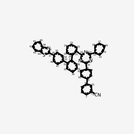 N#Cc1cccc(-c2ccc(-c3nc(-c4ccccc4)nc(-c4ccccc4-c4ccccc4-c4ccc(-c5nc6ccccc6s5)cc4)n3)cc2)c1